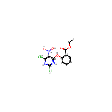 CCOC(=O)c1ccccc1Oc1nc(Cl)nc(Cl)c1[N+](=O)[O-]